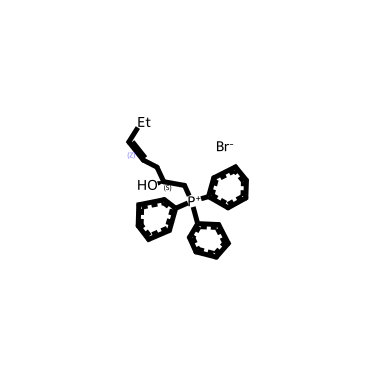 CC/C=C\C[C@H](O)C[P+](c1ccccc1)(c1ccccc1)c1ccccc1.[Br-]